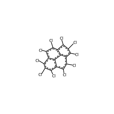 Clc1c(Cl)c2c(Cl)c(Cl)c3c(Cl)c(Cl)c(Cl)c4c(Cl)c(Cl)c(c1Cl)c2c34